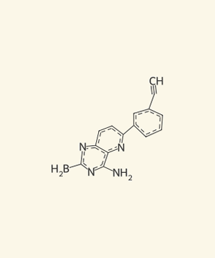 Bc1nc(N)c2nc(-c3cccc(C#C)c3)ccc2n1